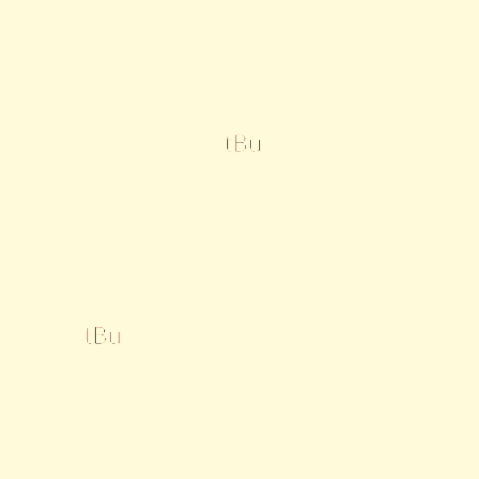 C=Cc1ccc(C(C)(C)C)c(C)c1C(C)(C)C